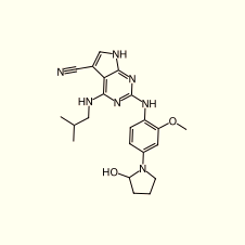 COc1cc(N2CCCC2O)ccc1Nc1nc(NCC(C)C)c2c(C#N)c[nH]c2n1